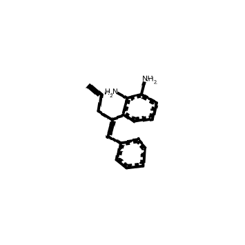 C=CCC(=Cc1ccccc1)c1cccc(N)c1N